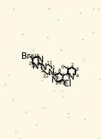 Cc1cccnc1-c1cc(N2CCN(c3ncc(Br)cn3)CC2)ncc1Cl